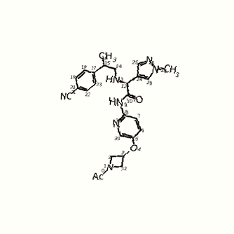 CC(=O)N1CC(Oc2ccc(NC(=O)[C@@H](NC[C@H](C)c3ccc(C#N)cc3)c3cnn(C)c3)nc2)C1